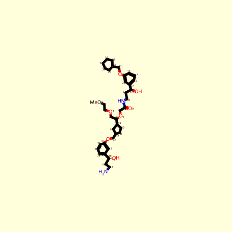 COCCOCC(OCC(=O)NCCC(O)c1cccc(OCC2CCCCC2)c1)C1CCC(COc2cccc([C@H](O)CCN)c2)C1